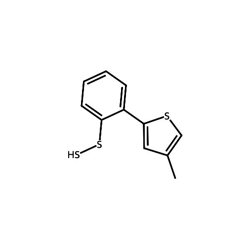 Cc1csc(-c2ccccc2SS)c1